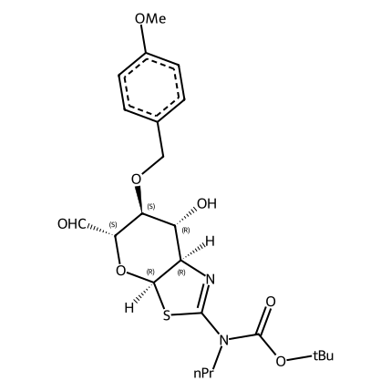 CCCN(C(=O)OC(C)(C)C)C1=N[C@@H]2[C@@H](O)[C@H](OCc3ccc(OC)cc3)[C@@H](C=O)O[C@@H]2S1